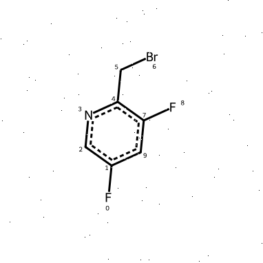 Fc1cnc(CBr)c(F)c1